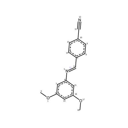 COc1cc(/N=C/c2ccc(C#N)cc2)cc(OC)c1